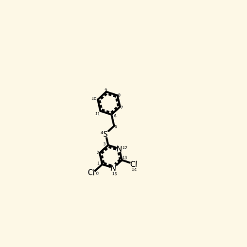 Clc1cc(SCc2ccccc2)nc(Cl)n1